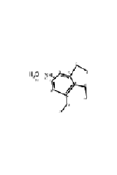 CCc1cccc(CC)c1CC.N.O